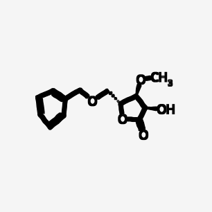 CO[C@@H]1[C@@H](COCc2ccccc2)OC(=O)[C@@H]1O